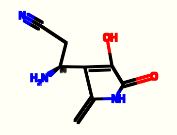 C=C1NC(=O)C(O)=C1[C@@H](N)CC#N